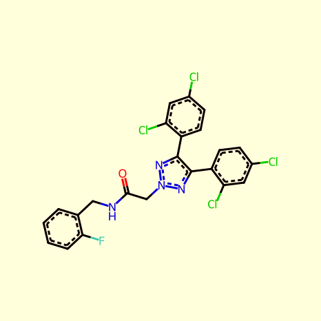 O=C(Cn1nc(-c2ccc(Cl)cc2Cl)c(-c2ccc(Cl)cc2Cl)n1)NCc1ccccc1F